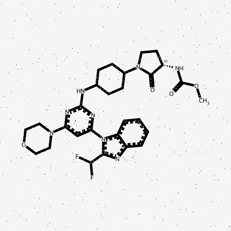 COC(=O)N[C@H]1CCN(C2CCC(Nc3nc(N4CCOCC4)cc(-n4c(C(F)F)nc5ccccc54)n3)CC2)C1=O